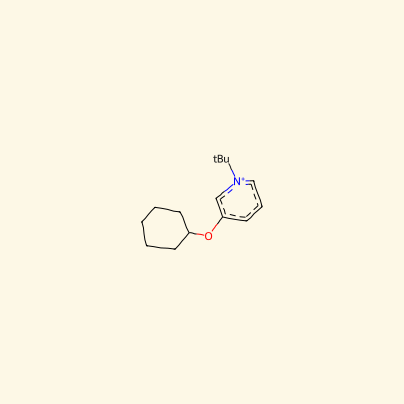 CC(C)(C)[n+]1cccc(OC2CCCCC2)c1